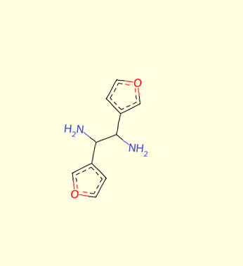 NC(c1ccoc1)C(N)c1ccoc1